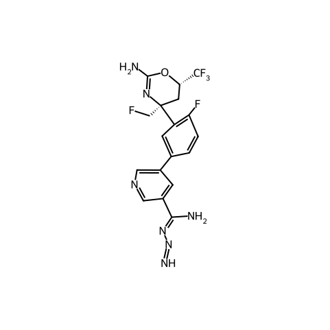 N=N/N=C(\N)c1cncc(-c2ccc(F)c([C@]3(CF)C[C@@H](C(F)(F)F)OC(N)=N3)c2)c1